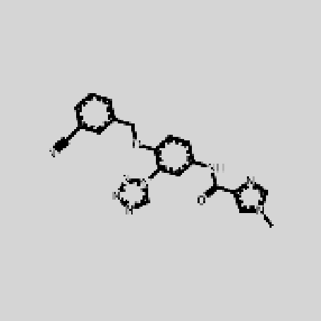 Cn1cnc(C(=O)Nc2ccc(OCc3cccc(C#N)c3)c(-n3cnnn3)c2)c1